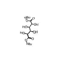 CCCCOC(=O)C(O)C(O)C(O)C(O)C(=O)OCCCC